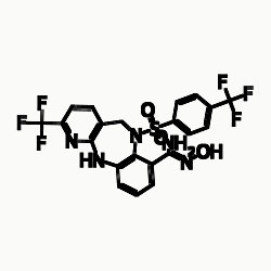 N/C(=N\O)c1cccc2c1N(S(=O)(=O)c1ccc(C(F)(F)F)cc1)Cc1ccc(C(F)(F)F)nc1N2